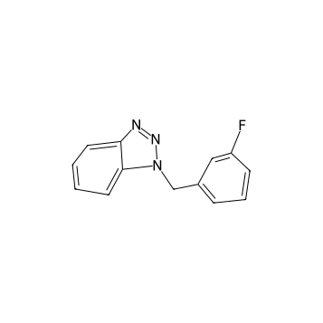 Fc1cccc(Cn2nnc3ccccc32)c1